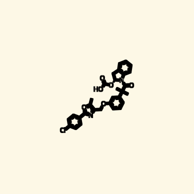 Cc1oc(-c2ccc(Cl)cc2)nc1COc1cccc(C(C)(C)C(=O)N2c3ccccc3C[C@H]2OC(=O)O)c1